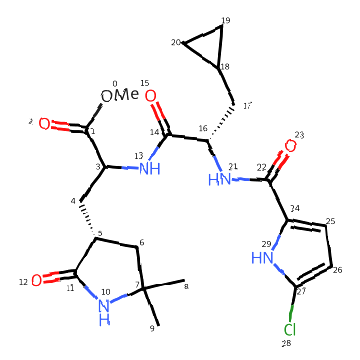 COC(=O)C(C[C@@H]1CC(C)(C)NC1=O)NC(=O)[C@H](CC1CC1)NC(=O)c1ccc(Cl)[nH]1